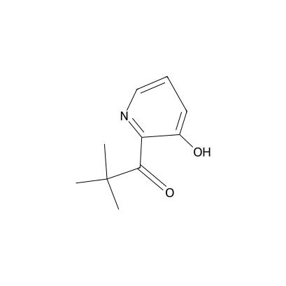 CC(C)(C)C(=O)c1ncccc1O